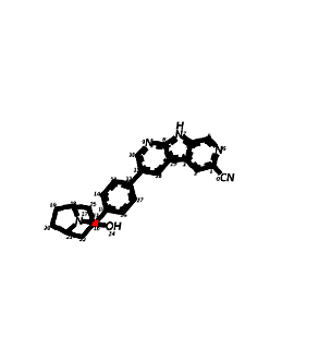 N#Cc1cc2c(cn1)[nH]c1ncc(-c3ccc(CN4C5CCC4CC(O)C5)cc3)cc12